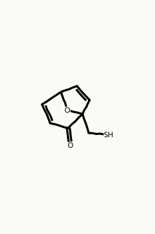 O=C1C=CC2C=CC1(CS)O2